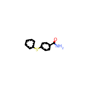 NC(=O)c1ccc(Sc2ccccc2)cc1